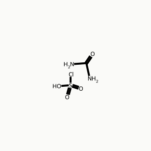 NC(N)=O.O=S(=O)(O)Cl